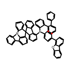 c1ccc(-c2ccccc2-c2ccccc2N(c2ccc(-c3cccc4c3oc3ccccc34)cc2)c2cccc3c2-c2ccccc2C32c3ccccc3-n3c4ccccc4c4cccc2c43)cc1